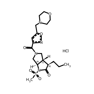 CCC[C@H]1C(=O)N(S(C)(=O)=O)[C@H]2CN(C(=O)c3cc(CN4CCOCC4)on3)C[C@H]12.Cl